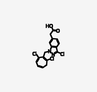 O=C(O)Cc1ccc2c(Cl)nn(CC3=C(Cl)CC=CC=C3Cl)c2c1